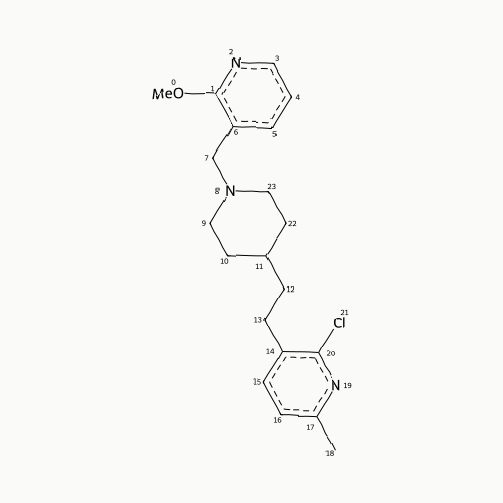 COc1ncccc1CN1CCC(CCc2ccc(C)nc2Cl)CC1